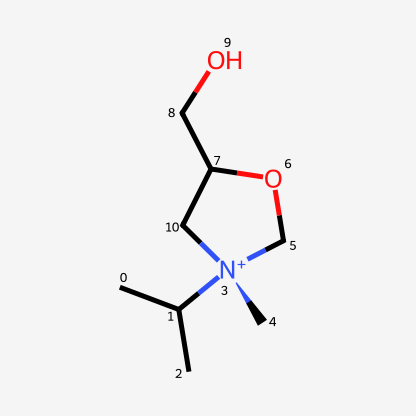 CC(C)[N@@+]1(C)COC(CO)C1